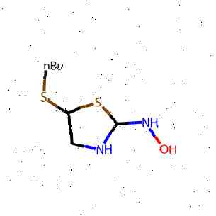 CCCCSC1CNC(NO)S1